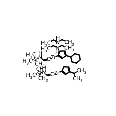 CC(C)C1=CC[C]([Zr]=[C]=CN[Si](C)(C)C)=C1.CCNCC.CCNCC.C[Si](C)(C)NC=[C]=[Zr][C]1=CC(C2CCCCC2)=CC1